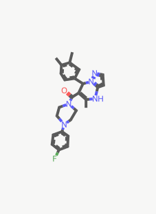 CC1=C(C(=O)N2CCN(c3ccc(F)cc3)CC2)C(c2ccc(C)c(C)c2)n2nccc2N1